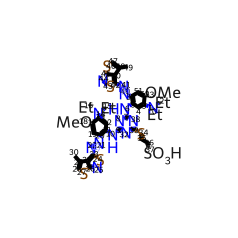 CCN(CC)c1cc(Nc2nc(Nc3cc(N(CC)CC)c(OC)cc3/N=N/c3snc4scc(C)c34)nc(SCCS(=O)(=O)O)n2)c(/N=N/c2snc3scc(C)c23)cc1OC